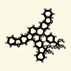 CC(C)(C)c1ccc(N2B3c4cc5c(cc4-n4c6cc7oc8ccccc8c7cc6c6ccc(c3c64)-c3cc4c(cc32)oc2ccccc24)-c2ccccc2C5(C)C)cc1